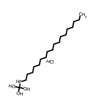 CCCCCCCCCCCCCCCCCCPC(O)(O)O.Cl